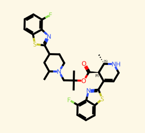 CC1CC(c2nc3c(F)cccc3s2)CCN1CC(C)(C)OC(=O)[C@@H]1C(c2nc3c(F)cccc3s2)=CCN[C@H]1C